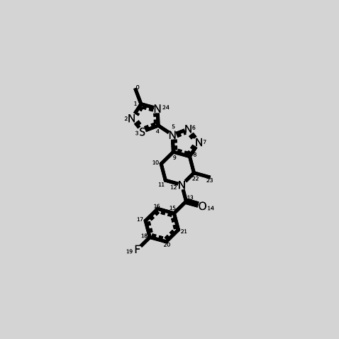 Cc1nsc(-n2nnc3c2CCN(C(=O)c2ccc(F)cc2)C3C)n1